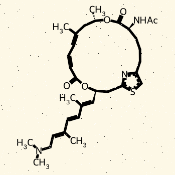 CC(=O)N[C@H]1CCCc2csc(n2)C[C@@H](/C=C(C)/C=C/C(C)=C/CN(C)C)OC(=O)/C=C\C=C(/C)C[C@H](C)OC1=O